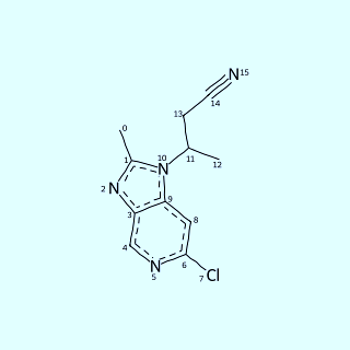 Cc1nc2cnc(Cl)cc2n1C(C)CC#N